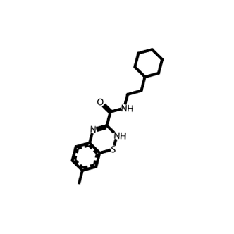 Cc1ccc2c(c1)SNC(C(=O)NCCC1CCCCC1)=N2